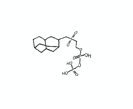 O=P(O)(O)OP(=O)(O)OCCS(=O)(=O)CC1CC2CCC3CC2CC1C3